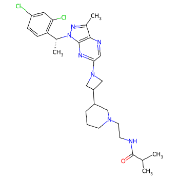 Cc1nn([C@H](C)c2ccc(Cl)cc2Cl)c2nc(N3CC(C4CCCN(CCNC(=O)C(C)C)C4)C3)cnc12